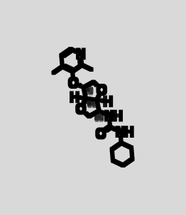 Cc1ccnc(C)c1O[C@H]1CO[C@H]2[C@@H]1OC[C@@H]2NC(=O)NC1CCCCC1